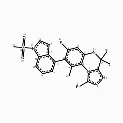 CCc1nnc2n1-c1c(cc(F)c(-c3cccc4c3ccn4S(C)(=O)=O)c1C)NC2(C)C